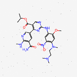 CNc1ncc(-c2nc(Nc3cc([N+](=O)[O-])c(N(C)CCN(C)C)cc3OC)ncc2C(=O)OC(C)C)cc1C(N)=O